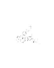 C=CC(=O)Nc1cc(Oc2nc(Nc3ccc(N4CCN(C)CC4)cc3)c(C(N)=O)nc2CC)c(F)cc1F